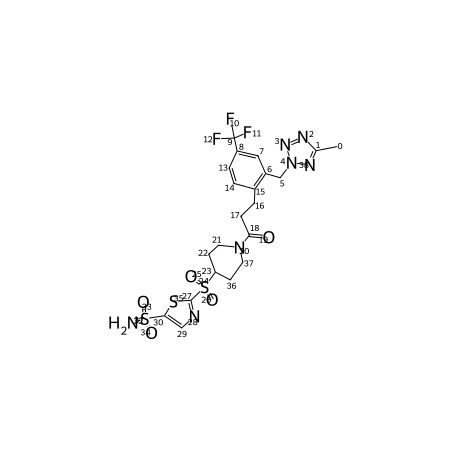 Cc1nnn(Cc2cc(C(F)(F)F)ccc2CCC(=O)N2CCC(S(=O)(=O)c3ncc(S(N)(=O)=O)s3)CC2)n1